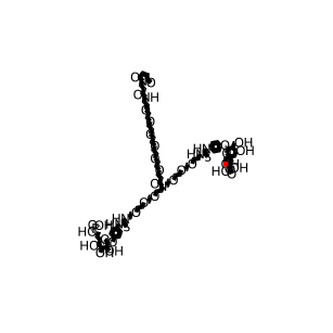 O=C(CCN1C(=O)C=CC1=O)NCCOCCOCCOCCOCCOCCOCCC(=O)N(CCOCCOCCOCCNC(=S)Nc1ccc(O[C@H]2OC(CCP(=O)(O)O)[C@@H](O)C(O)C2O)cc1)CCOCCOCCOCCNC(=S)Nc1ccc(O[C@H]2OC(CO)(CCP(=O)(O)O)CC(O)C2CO)cc1